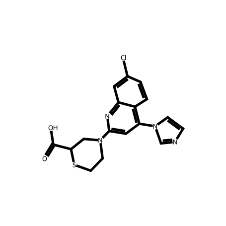 O=C(O)C1CN(c2cc(-n3ccnc3)c3ccc(Cl)cc3n2)CCS1